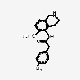 Cl.O=C(Cc1ccc(C(F)(F)F)cc1)Nc1c(Cl)ccc2c1CCNC2